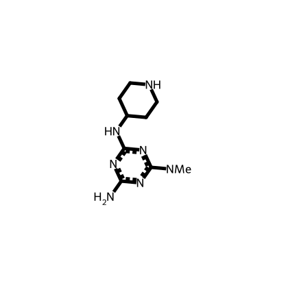 CNc1nc(N)nc(NC2CCNCC2)n1